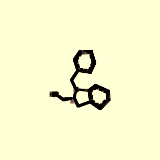 OC[C@@H]1Cc2ccccc2N1Cc1ccccc1